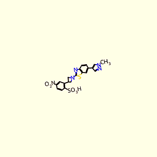 Cn1cc(-c2ccc3nc(N4CC(c5cc([N+](=O)[O-])ccc5S(=O)(=O)O)C4)sc3c2)cn1